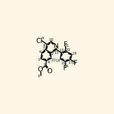 COC(=O)c1ccc2c(Cl)cnc(-c3cc(F)c(F)cc3F)c2c1